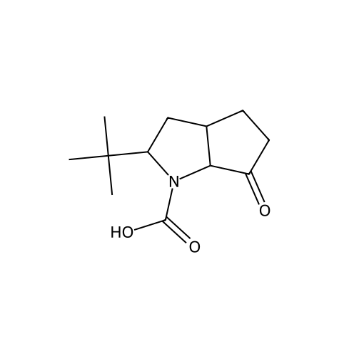 CC(C)(C)C1CC2CCC(=O)C2N1C(=O)O